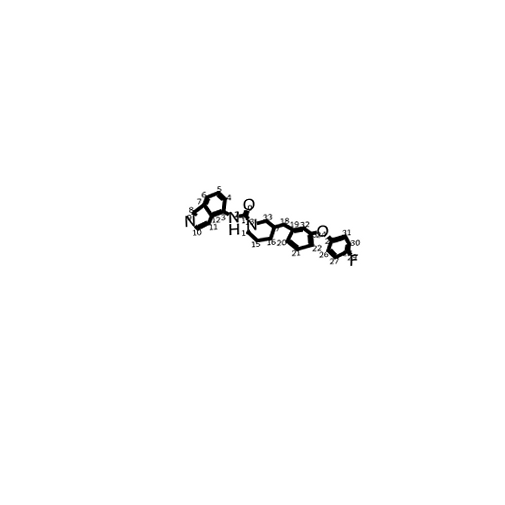 O=C(Nc1cccc2cnccc12)N1CCCC(Cc2cccc(Oc3ccc(F)cc3)c2)C1